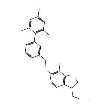 Cc1cc(C)c(-c2cccc(COc3ncc4c(c3C)SC[C@H]4CC(=O)O)c2)c(C)c1